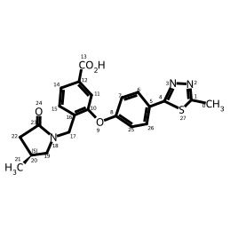 Cc1nnc(-c2ccc(Oc3cc(C(=O)O)ccc3CN3C[C@@H](C)CC3=O)cc2)s1